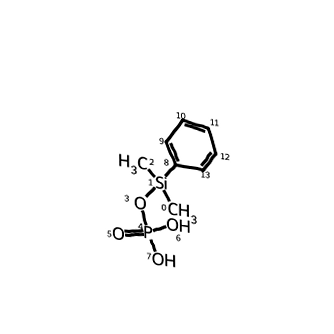 C[Si](C)(OP(=O)(O)O)c1ccccc1